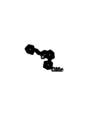 COc1cccc(-c2cccc3c2OC([CH]Cc2ccccc2)C3)c1